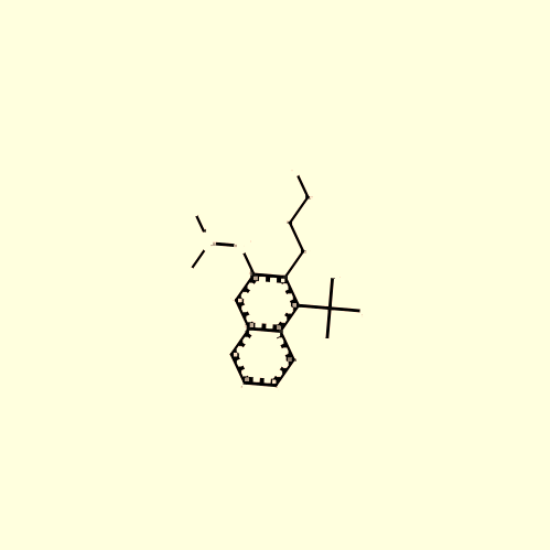 C[SiH](C)Oc1cc2ccccc2c(C(C)(C)C)c1CCCBr